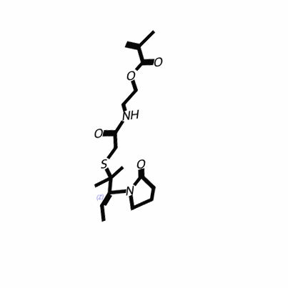 C=C(C)C(=O)OCCNC(=O)CSC(C)(C)/C(=C/C)N1CCCC1=O